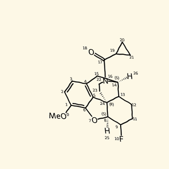 COc1ccc2c3c1O[C@@H]1C(F)CCC4[C@H](C2)N(C(=O)C2CC2)CC[C@]341